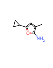 Cc1cc(C2CC2)oc1N